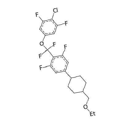 CCOCC1CCC(c2cc(F)c(C(F)(F)Oc3cc(F)c(Cl)c(F)c3)c(F)c2)CC1